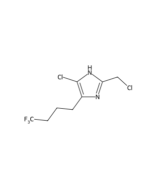 FC(F)(F)CCCc1nc(CCl)[nH]c1Cl